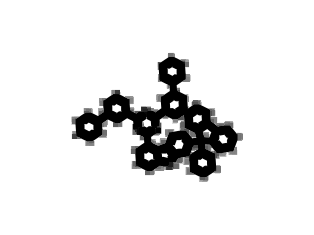 c1ccc(-c2cccc(-c3nc(-c4cccc(-c5ccccc5)c4)nc(-c4cccc5sc6cc(C7(c8ccccc8)c8ccccc8-c8ccccc87)ccc6c45)n3)c2)cc1